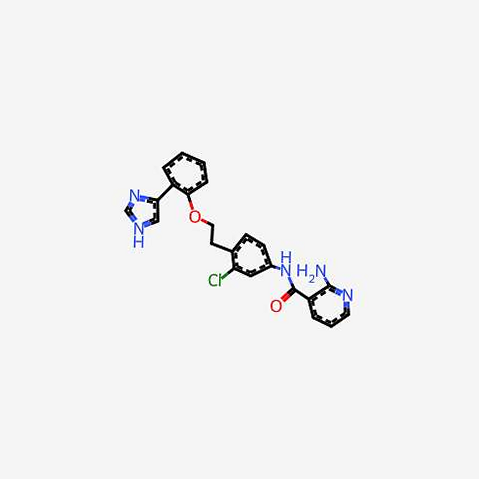 Nc1ncccc1C(=O)Nc1ccc(CCOc2ccccc2-c2c[nH]cn2)c(Cl)c1